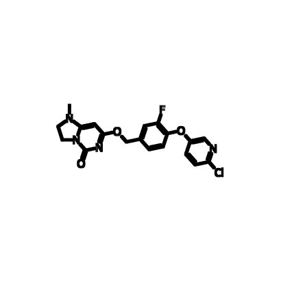 CN1CCn2c1cc(OCc1ccc(Oc3ccc(Cl)nc3)c(F)c1)nc2=O